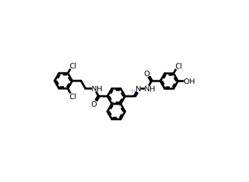 O=C(N/N=C/c1ccc(C(=O)NCCc2c(Cl)cccc2Cl)c2ccccc12)c1ccc(O)c(Cl)c1